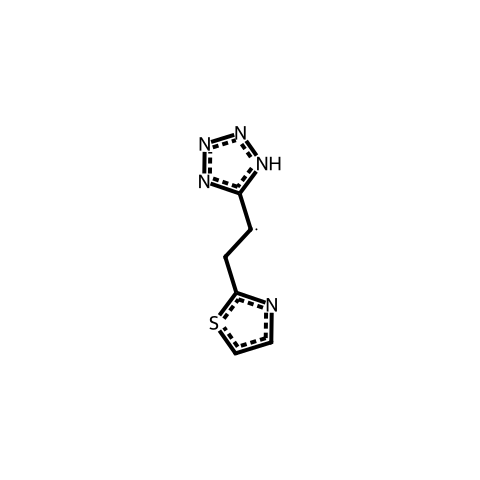 [CH](Cc1nccs1)c1nnn[nH]1